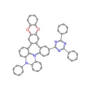 c1ccc(-c2nc(-c3ccccc3)nc(-c3ccc4c(c3)c3cc5oc6ccccc6oc5cc3c3cccc5c3n4-c3ccccc3N5c3ccccc3)n2)cc1